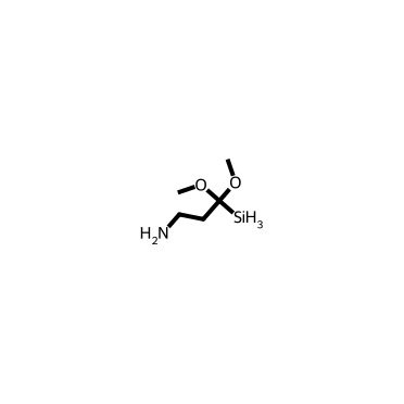 COC([SiH3])(CCN)OC